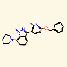 Cc1nc(OCc2ccccc2)ccc1-c1nn(C)c2c(N3CCCCC3)cccc12